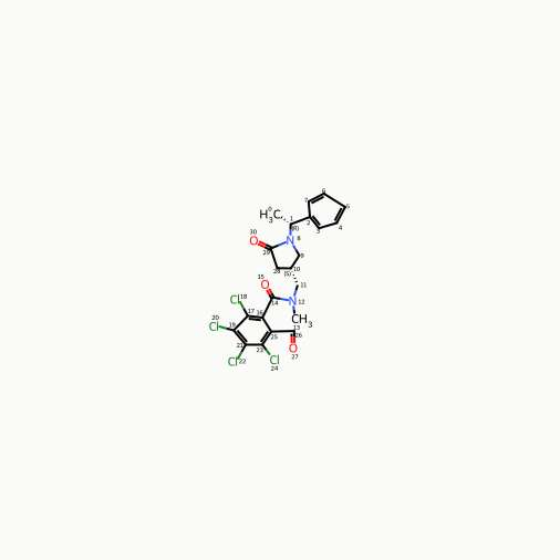 C[C@H](c1ccccc1)N1C[C@H](CN(C)C(=O)c2c(Cl)c(Cl)c(Cl)c(Cl)c2C=O)CC1=O